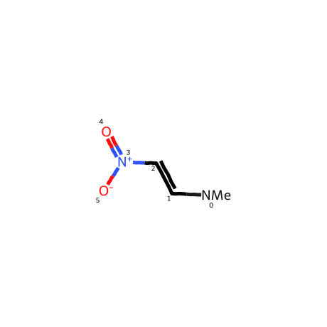 CNC=C[N+](=O)[O-]